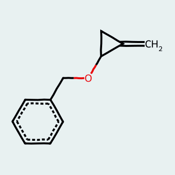 C=C1CC1OCc1ccccc1